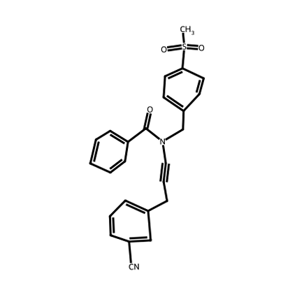 CS(=O)(=O)c1ccc(CN(C#CCc2cccc(C#N)c2)C(=O)c2ccccc2)cc1